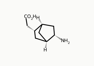 N[C@H]1C[C@H]2C[C@@H]1C[C@@H]2CC(=O)O